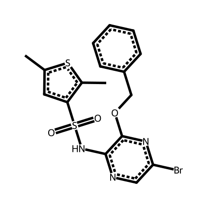 Cc1cc(S(=O)(=O)Nc2ncc(Br)nc2OCc2ccccc2)c(C)s1